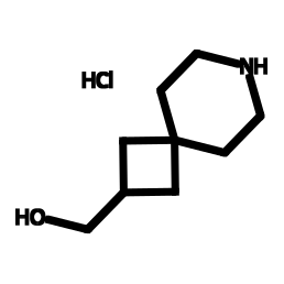 Cl.OCC1CC2(CCNCC2)C1